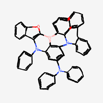 c1ccc(-c2ccccc2N2c3ccccc3B3c4oc5ccccc5c4N(c4ccccc4)c4cc(N(c5ccccc5)c5ccccc5)cc2c43)cc1